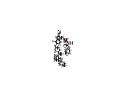 Cc1c(CN2CCC(Nc3ncnc4sc(CC(F)(F)F)cc34)CC2)ccc2c1cc(C#N)n2CC12CC(NC(=O)CN3CCOCC3)(C1)C2